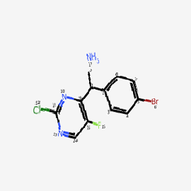 CC(c1ccc(Br)cc1)c1nc(Cl)ncc1F.N